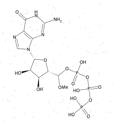 COC(OP(=O)(O)OP(=O)(O)OP(=O)(O)O)[C@H]1O[C@@H](n2cnc3c(=O)[nH]c(N)nc32)[C@H](O)[C@@H]1O